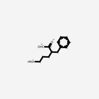 CCCCCCCCCCCCC(Cc1ccccc1)C(=O)C=O